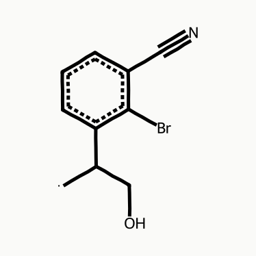 [CH2]C(CO)c1cccc(C#N)c1Br